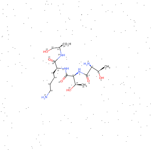 C[C@@H](O)[C@H](N)C(=O)N[C@H](C(=O)N[C@@H](CCCCN)C(=O)N[C@@H](CO)C(=O)O)[C@@H](C)O